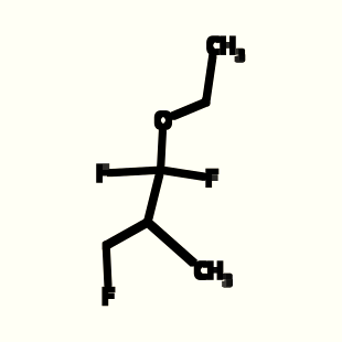 CCOC(F)(F)C(C)CF